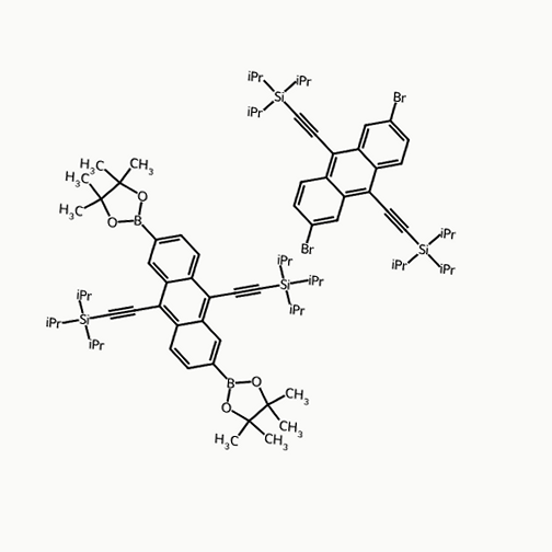 CC(C)[Si](C#Cc1c2ccc(B3OC(C)(C)C(C)(C)O3)cc2c(C#C[Si](C(C)C)(C(C)C)C(C)C)c2ccc(B3OC(C)(C)C(C)(C)O3)cc12)(C(C)C)C(C)C.CC(C)[Si](C#Cc1c2ccc(Br)cc2c(C#C[Si](C(C)C)(C(C)C)C(C)C)c2ccc(Br)cc12)(C(C)C)C(C)C